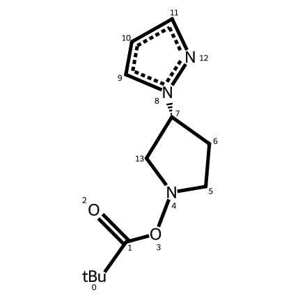 CC(C)(C)C(=O)ON1CC[C@@H](n2cccn2)C1